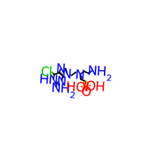 NCCN(CCn1cnc2c1N=C(N)NC2Cl)CCP(=O)(O)O